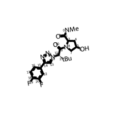 CNC(=O)C1CC(O)CN1C(=O)[C@@H](n1cc(-c2ccc(F)c(F)c2)nn1)C(C)(C)C